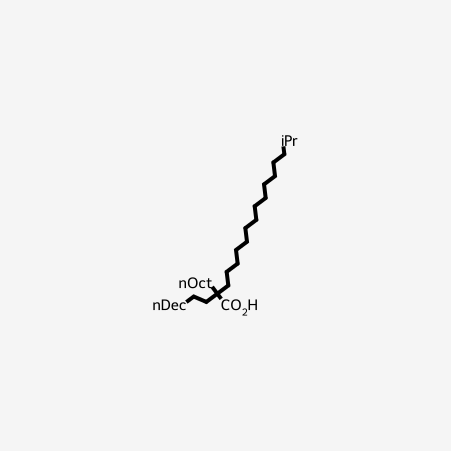 CCCCCCCCCCCCC(CCCCCCCC)(CCCCCCCCCCCCCC(C)C)C(=O)O